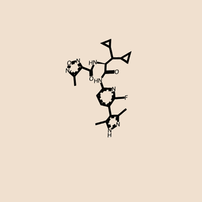 Cc1nonc1C(=O)N[C@H](C(=O)Nc1ccc(-c2c(C)n[nH]c2C)c(F)n1)C(C1CC1)C1CC1